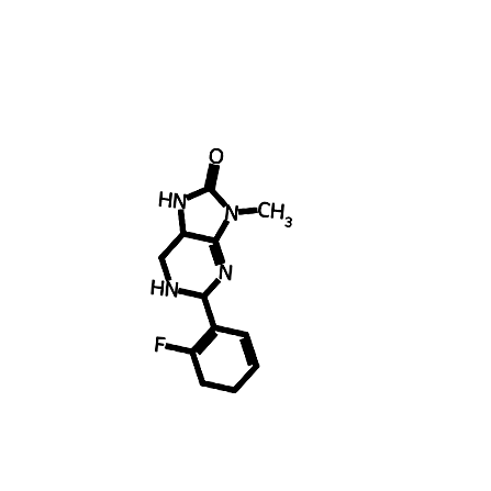 CN1C(=O)NC2CNC(C3=C(F)CCC=C3)N=C21